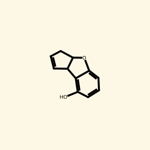 Oc1cccc2c1C1C=CCC1O2